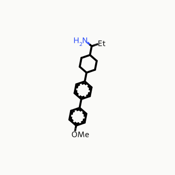 CCC(N)C1CCC(c2ccc(-c3ccc(OC)cc3)cc2)CC1